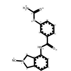 N#CN1Cc2cccc(NC(=O)c3cccc(OC(N)=O)c3)c2C1